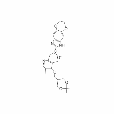 Cc1cnc(C[S+]([O-])c2nc3cc4c(cc3[nH]2)OCCO4)c(C)c1OCC1COC(C)(C)OC1